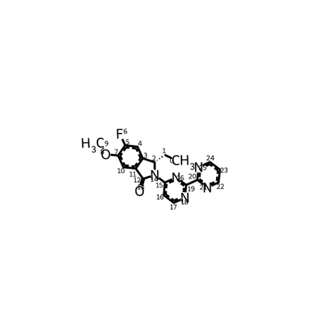 CC[C@H]1c2cc(F)c(OC)cc2C(=O)N1c1ccnc(-c2ncccn2)n1